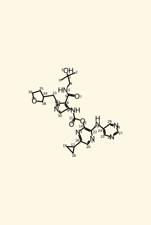 CC(C)(O)CNC(=O)c1c(NC(=O)Oc2nc(C3CC3)cnc2Nc2cncnc2)cnn1CC1CCOC1